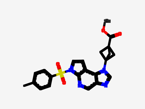 Cc1ccc(S(=O)(=O)n2ccc3c4c(cnc32)ncn4C23CC(C(=O)OC(C)(C)C)(C2)C3)cc1